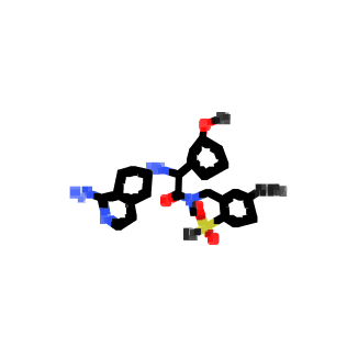 CCOc1cccc(C(Nc2ccc3c(N)nccc3c2)C(=O)N(C)Cc2cc(NC(C)=O)ccc2S(=O)(=O)CC)c1